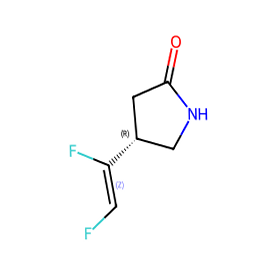 O=C1C[C@@H](/C(F)=C/F)CN1